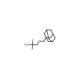 CC(F)(F)COCC12CC3CC(CC(C3)C1)C2